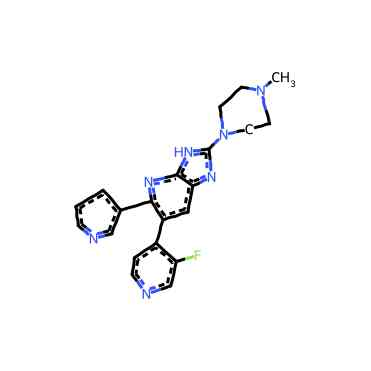 CN1CCN(c2nc3cc(-c4ccncc4F)c(-c4cccnc4)nc3[nH]2)CC1